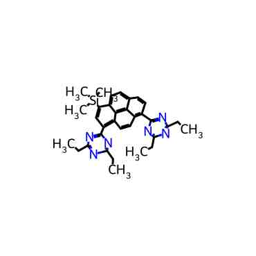 CCc1nc(CC)nc(-c2ccc3ccc4c([Si](C)(C)C)cc(-c5nc(CC)nc(CC)n5)c5ccc2c3c54)n1